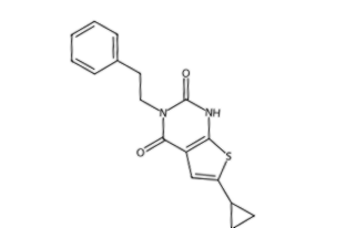 O=c1[nH]c2sc(C3CC3)cc2c(=O)n1CCc1ccccc1